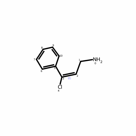 NC/C=C(/Cl)c1ccccc1